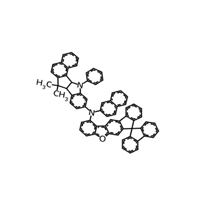 CC1(C)c2ccc3ccccc3c2C2C1c1ccc(N(c3ccc4ccccc4c3)c3cccc4oc5cc6c(cc5c34)-c3ccccc3C63c4ccccc4-c4ccccc43)cc1N2c1ccccc1